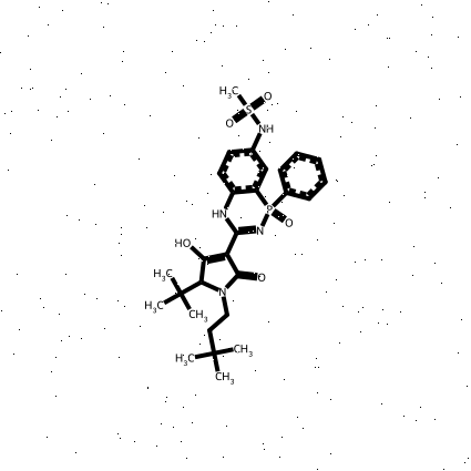 CC(C)(C)CCN1C(=O)C(C2=NP(=O)(c3ccccc3)c3cc(NS(C)(=O)=O)ccc3N2)=C(O)C1C(C)(C)C